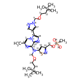 Cc1cn2c(-c3cnn(COCC[Si](C)(C)C)c3)cnc2c(N(COCC[Si](C)(C)C)c2cc(COS(C)(=O)=O)ns2)n1